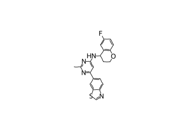 Cc1nc(NC2CCOc3ccc(F)cc32)cc(-c2ccc3ncsc3c2)n1